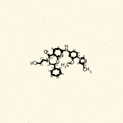 COc1cc(Nc2ccc3c(n2)OC(c2ccccc2)CN(CCO)C3=O)ccc1-n1cnc(C)c1